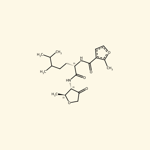 Cc1occc1C(=O)N[C@@H](CCC(C)C(C)C)C(=O)N[C@@H]1C(=O)CO[C@H]1C